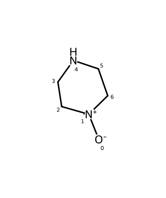 [O-][N+]1CCNCC1